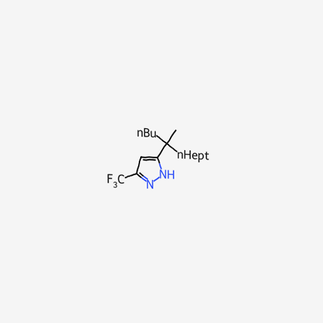 CCCCCCCC(C)(CCCC)c1cc(C(F)(F)F)n[nH]1